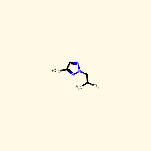 CC(Cn1ncc(C(=O)O)n1)C(F)(F)F